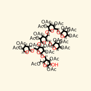 CC(=O)OC[C@@H]1O[C@@H](OC(C)=O)C(O)[C@@H](OC(C)=O)C1CO[C@@H]1OC(CO[C@H]2OC[C@@H](OC(C)=O)C(OC(C)=O)C2OC(C)=O)[C@@H](O[C@@H]2O[C@@H](CO[C@H]3OC[C@H](OC(C)=O)C(OC(C)=O)C3OC(C)=O)C(CO[C@@H]3OC(CO[C@H]4OC[C@@H](OC(C)=O)C(OC(C)=O)C4OC(C)=O)[C@@H](OC(C)=O)C(OC(C)=O)C3OC(C)=O)[C@H](OC(C)=O)C2OC(C)=O)C(OC(C)=O)C1OC(C)=O